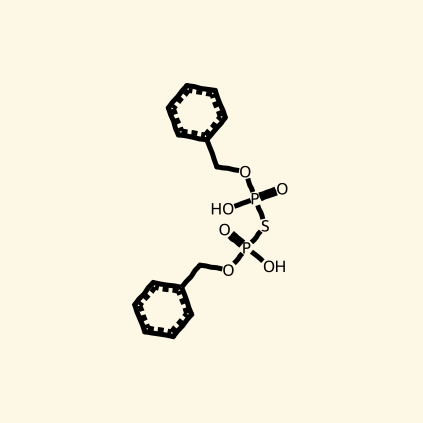 O=P(O)(OCc1ccccc1)SP(=O)(O)OCc1ccccc1